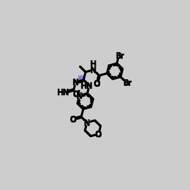 CC(NC(=O)c1cc(Br)cc(Br)c1)/C(=N/C(=N)Cl)Nc1ccc(C(=O)N2CCOCC2)cn1